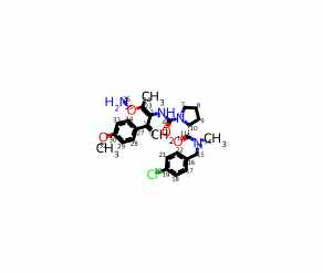 C=C(/C(NC(=O)N1CCC[C@@H]1C(=O)N(C)Cc1ccc(Cl)cc1)=C(/C)ON)c1ccc(OC)cc1